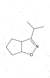 CC(C)C1=NOC2CCCC12